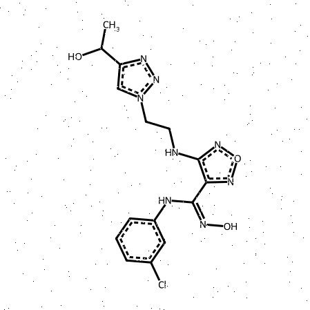 CC(O)c1cn(CCNc2nonc2C(=NO)Nc2cccc(Cl)c2)nn1